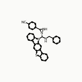 N#Cc1ccc(C2N[N@@]2C(NCc2ccccc2)n2c3ccccc3c3cc4sc5ccccc5c4cc32)cc1